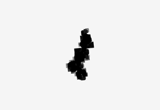 COc1ccc2[nH]c(C(=O)Nc3ccc(C4=NC(C5CCOCC5)=C5C=NC=C[N+]45C)cc3OC)cc2n1